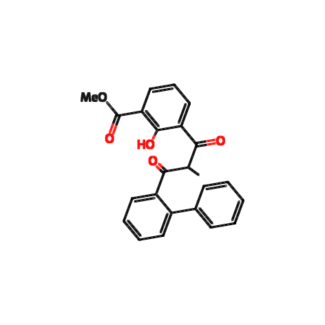 COC(=O)c1cccc(C(=O)C(C)C(=O)c2ccccc2-c2ccccc2)c1O